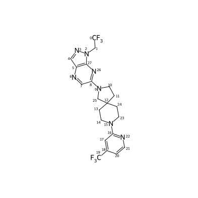 FC(F)(F)Cn1ncc2ncc(N3CCC4(CCN(c5cc(C(F)(F)F)ccn5)CC4)C3)nc21